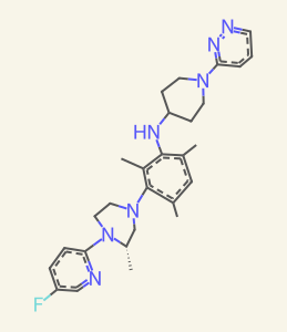 Cc1cc(C)c(N2CCN(c3ccc(F)cn3)[C@@H](C)C2)c(C)c1NC1CCN(c2cccnn2)CC1